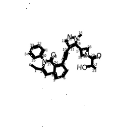 CCc1cc2cccc(C#Cc3cnn(C)c3C3CN(C(=O)C(C)O)C3)c2c(=O)n1-c1ccccc1